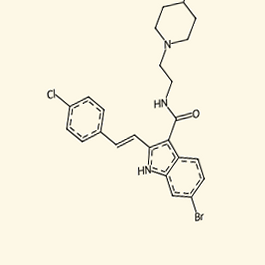 O=C(NCCN1CCC(O)CC1)c1c(/C=C/c2ccc(Cl)cc2)[nH]c2cc(Br)ccc12